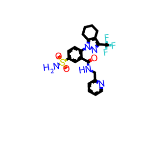 NS(=O)(=O)c1ccc(-n2nc(C(F)(F)F)c3c2CCCC3)c(C(=O)NCc2ccccn2)c1